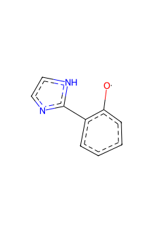 [O]c1ccccc1-c1ncc[nH]1